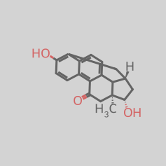 C[C@@]12CC(=O)c3c4ccc5c(c(O)ccc35)C[C@H](C[C@@H]1O)C42